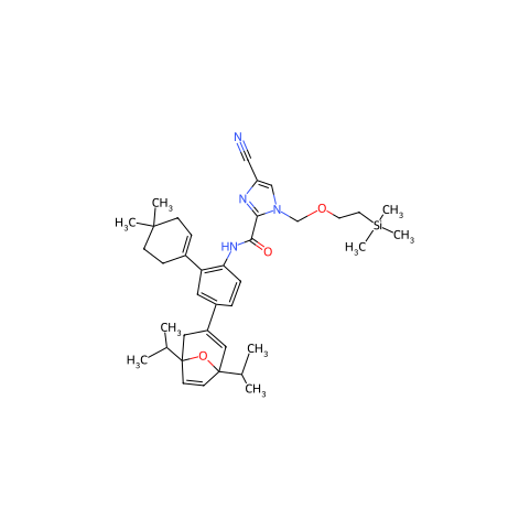 CC(C)C12C=CC(C(C)C)(CC(c3ccc(NC(=O)c4nc(C#N)cn4COCC[Si](C)(C)C)c(C4=CCC(C)(C)CC4)c3)=C1)O2